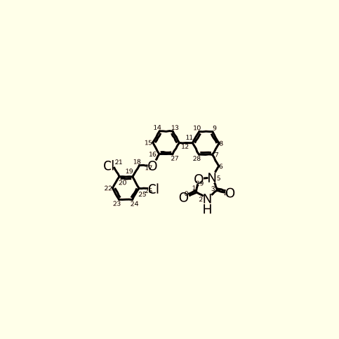 O=c1[nH]c(=O)n(Cc2cccc(-c3cccc(OCc4c(Cl)cccc4Cl)c3)c2)o1